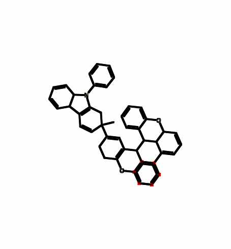 CC1(C2=CC3=C(CC2)Oc2ccccc2C3C2c3ccccc3OC3C=CC=C(C4=CCCC=C4)C32)C=CC2=C(C1)N(c1ccccc1)C1C=CC=CC21